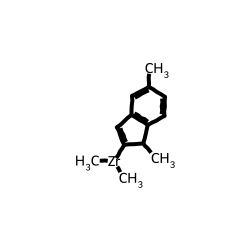 Cc1ccc2c(c1)C=[C]([Zr]([CH3])[CH3])C2C